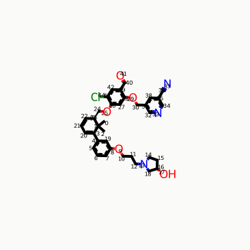 CC1(C)C(c2cccc(OCCCN3CCC(O)C3)c2)=CC=C[C@H]1COc1cc(OCc2cncc(C#N)c2)c(C=O)cc1Cl